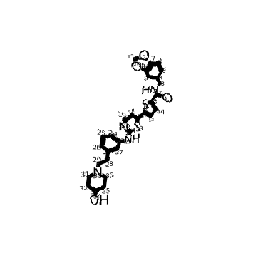 O=C(NCc1ccc2c(c1)OCO2)c1ccc(-c2ccnc(Nc3cccc(CCN4CCC(O)CC4)c3)n2)s1